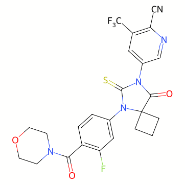 N#Cc1ncc(N2C(=O)C3(CCC3)N(c3ccc(C(=O)N4CCOCC4)c(F)c3)C2=S)cc1C(F)(F)F